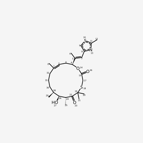 C/C1=C/C[C@@H](/C(C)=C/c2csc(C)n2)OC(=O)CSC(C)(C)C(=O)[C@H](C)[C@@H](O)[C@@H](C)CCC1